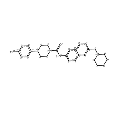 O=C(Nc1ccc2nc(CN3CCCCC3)ccc2c1)N1CCC(c2ccc(Cl)cc2)CC1